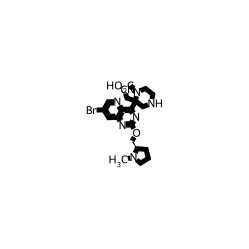 CN1CCC[C@H]1COc1nc(C2(CC#N)CNCCN2C(=O)O)c2ncc(Br)cc2n1